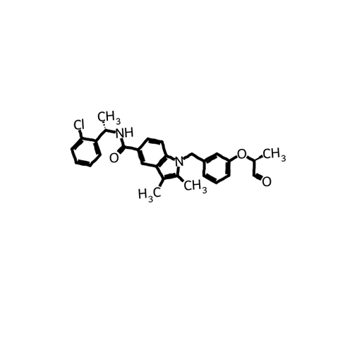 Cc1c(C)n(Cc2cccc(O[C@@H](C)C=O)c2)c2ccc(C(=O)N[C@@H](C)c3ccccc3Cl)cc12